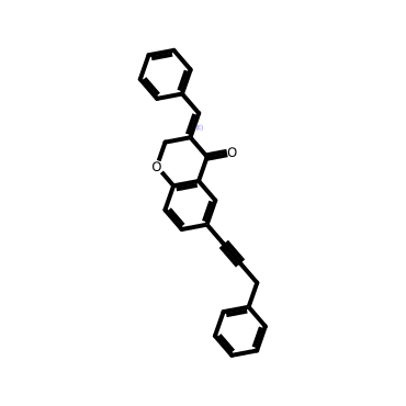 O=C1/C(=C/c2ccccc2)COc2ccc(C#CCc3ccccc3)cc21